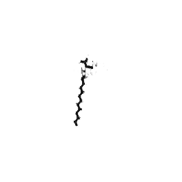 CCCCCCCCCCCCONC(C(N)=O)C(C)C